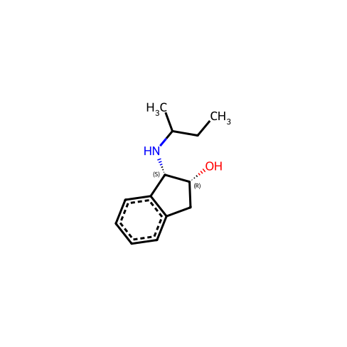 CCC(C)N[C@H]1c2ccccc2C[C@H]1O